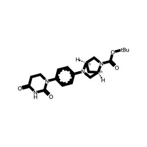 CC(C)(C)OC(=O)N1C[C@H]2C[C@@H]1CN2c1ccc(N2CCC(=O)NC2=O)cc1